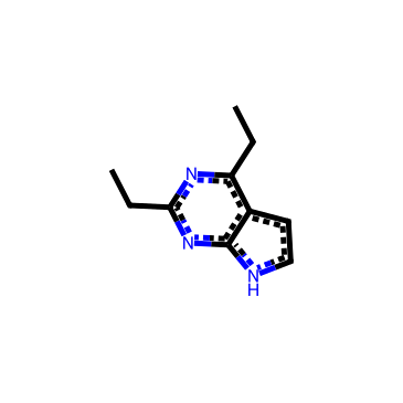 CCc1nc(CC)c2cc[nH]c2n1